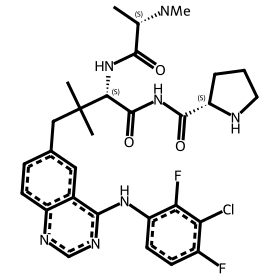 CN[C@@H](C)C(=O)N[C@H](C(=O)NC(=O)[C@@H]1CCCN1)C(C)(C)Cc1ccc2ncnc(Nc3ccc(F)c(Cl)c3F)c2c1